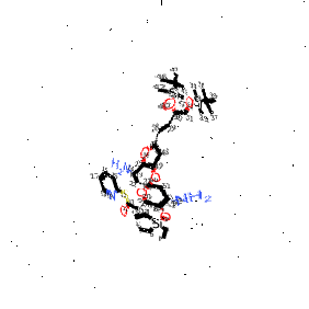 CC[Si](CC)(CC)O[C@@H]1[C@H](CC(=O)Sc2ccccn2)O[C@]2(C[C@H](N)C3O[C@H](CC[C@H](CO[Si](C)(C)C(C)(C)C)O[Si](C)(C)C(C)(C)C)CC3O2)C[C@@H]1N